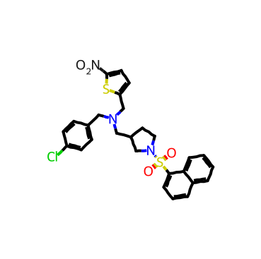 O=[N+]([O-])c1ccc(CN(Cc2ccc(Cl)cc2)CC2CCN(S(=O)(=O)c3cccc4ccccc34)C2)s1